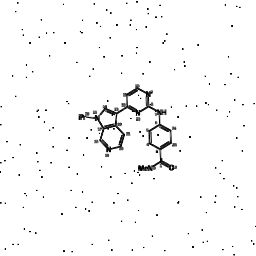 CNC(=O)c1ccc(Nc2nccc(-c3cn(C(C)C)c4cnccc34)n2)cc1